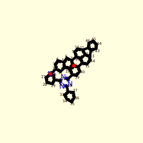 N#Cc1ccc2cc(-c3ccc4c5c(ccc(-c6ccc(-c7nc(-c8ccccc8)nc(-c8ccccc8)n7)cc6)c35)-c3ccccc3-4)ccc2c1